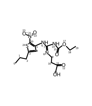 CCCc1cc(NC(=NCCC(=O)O)NC(=O)OCC)c([N+](=O)[O-])s1